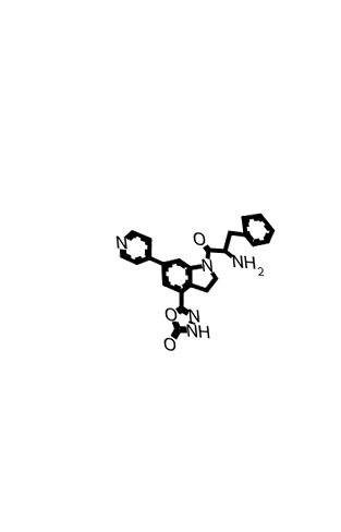 NC(Cc1ccccc1)C(=O)N1CCc2c(-c3n[nH]c(=O)o3)cc(-c3ccncc3)cc21